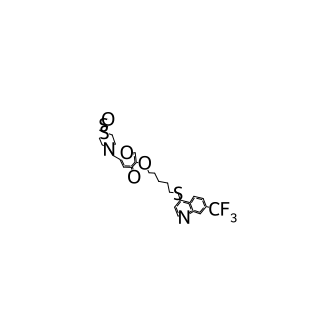 O=S=S1CCN(Cc2cc(=O)c(OCCCCCSc3ccnc4cc(C(F)(F)F)ccc34)co2)CC1